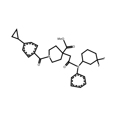 COC(=O)C1(CC(=O)N(c2ccccc2)C2CCCC(F)(F)C2)CCN(C(=O)c2ccc(C3CC3)cc2)CC1